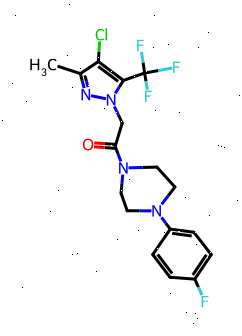 Cc1nn(CC(=O)N2CCN(c3ccc(F)cc3)CC2)c(C(F)(F)F)c1Cl